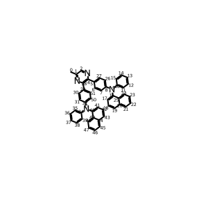 Cc1cnc(-c2ccc(N(c3ccccc3)c3cccc4ccccc34)cc2)c(-c2ccc(N(c3ccccc3)c3cccc4ccccc34)cc2)n1